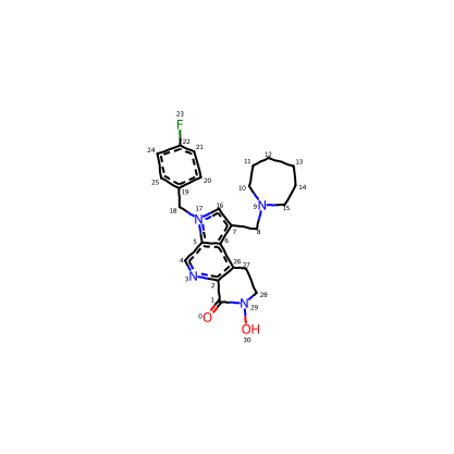 O=C1c2ncc3c(c(CN4CCCCCC4)cn3Cc3ccc(F)cc3)c2CCN1O